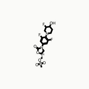 CS(=O)(=O)OC[C@H]1CN(c2cc(F)c(N3CCC(O)C(F)C3)c(F)c2)C(=O)O1